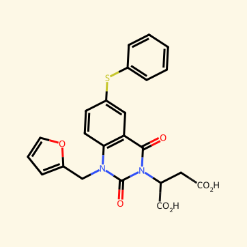 O=C(O)CC(C(=O)O)n1c(=O)c2cc(Sc3ccccc3)ccc2n(Cc2ccco2)c1=O